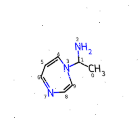 CC(N)N1C=CC=NC=C1